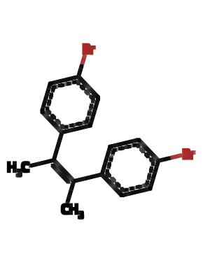 CC(=C(C)c1ccc(Br)cc1)c1ccc(Br)cc1